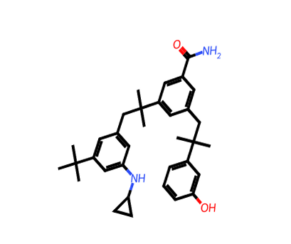 CC(C)(C)c1cc(CC(C)(C)c2cc(CC(C)(C)c3cccc(O)c3)cc(C(N)=O)c2)cc(NC2CC2)c1